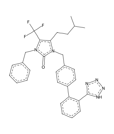 CC(C)CCc1c(C(F)(F)F)n(Cc2ccccc2)c(=O)n1Cc1ccc(-c2ccccc2-c2nnn[nH]2)cc1